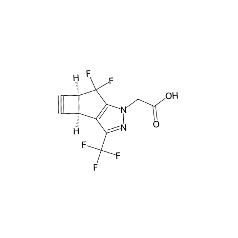 O=C(O)Cn1nc(C(F)(F)F)c2c1C(F)(F)[C@@H]1C#C[C@H]21